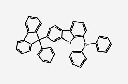 c1ccc(N(c2ccccc2)c2cccc3c2oc2cc(C4(c5ccccc5)c5ccccc5-c5ccccc54)ccc23)cc1